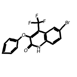 O=c1[nH]c2ccc(Br)cc2c(C(F)(F)F)c1Oc1ccccc1